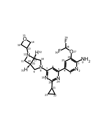 Nc1ncc(-c2cc(N3C[C@@H]4CN(C5COC5)[C@@H]4C3)nc(C3CC3)n2)cc1OC(F)F